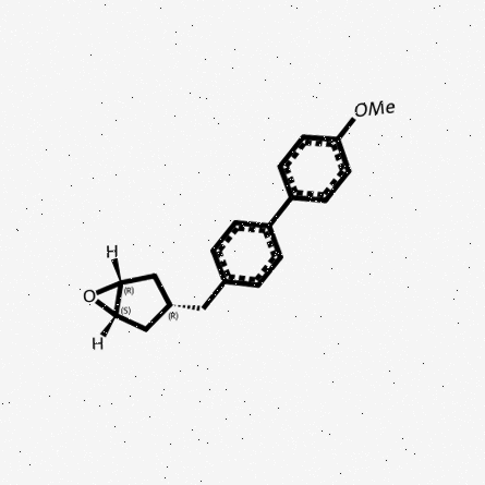 COc1ccc(-c2ccc(C[C@@H]3C[C@@H]4O[C@@H]4C3)cc2)cc1